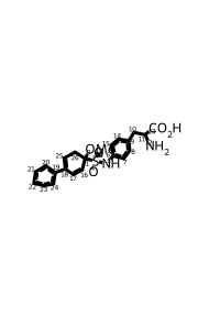 COC1(S(=O)(=O)Nc2ccc(CC(N)C(=O)O)cc2)C=CC(c2ccccc2)=CC1